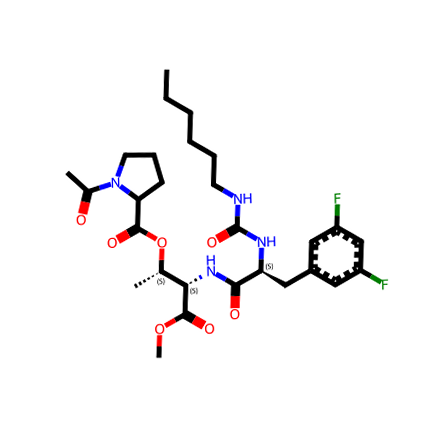 CCCCCCNC(=O)N[C@@H](Cc1cc(F)cc(F)c1)C(=O)N[C@H](C(=O)OC)[C@H](C)OC(=O)C1CCCN1C(C)=O